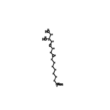 CCCCCCCCCCCCCCCCOCCOCC(O)CO